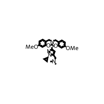 COc1ccc(CN(Cc2ccc(OC)cc2)S(=O)(=O)c2cc(CN(C)C)n(C3CC3)n2)cc1